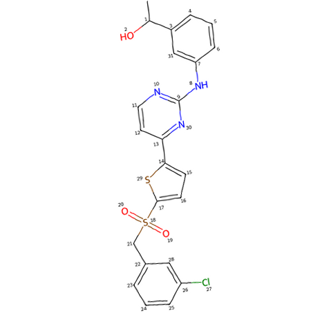 CC(O)c1cccc(Nc2nccc(-c3ccc(S(=O)(=O)Cc4cccc(Cl)c4)s3)n2)c1